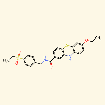 CCOc1ccc2c(c1)Sc1ccc(C(=O)NCc3ccc(S(=O)(=O)CC)cc3)cc1N2